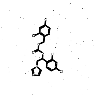 O=C(OCc1ccc(Cl)cc1Cl)SC(Cn1ccnc1)c1ccc(Cl)cc1Cl